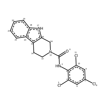 O=C(Nc1c(Cl)cc(Cl)cc1Cl)N1CCc2c([nH]c3ccccc23)C1